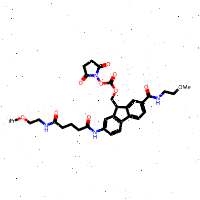 COCCNC(=O)c1ccc2c(c1)C(COC(=O)ON1C(=O)CCC1=O)c1cc(NC(=O)CCCC(=O)NCCOC(C)C)ccc1-2